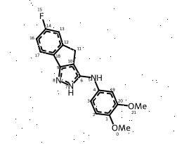 COc1ccc(Nc2[nH]nc3c2Cc2cc(F)ccc2-3)cc1OC